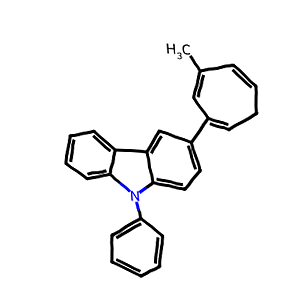 CC1=CC(c2ccc3c(c2)c2ccccc2n3-c2ccccc2)=CCC=C1